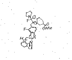 COC(=O)[C@H]1CC[C@H](OC(F)(C(=O)Cc2ccc3nc(Nc4c(C)cccc4Cl)oc3c2F)N2CCCC2)CC1